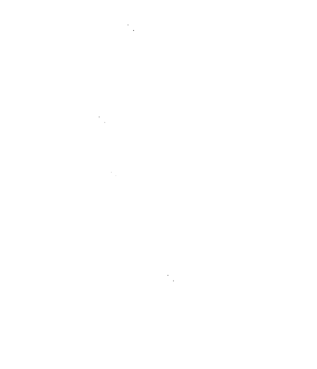 NCCCN1CCN(c2ccc3c(c2)C(=O)N(C2CCCCC2)C3)CC1